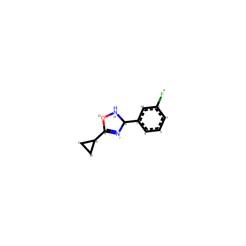 Fc1cccc(C2N=C(C3CC3)ON2)c1